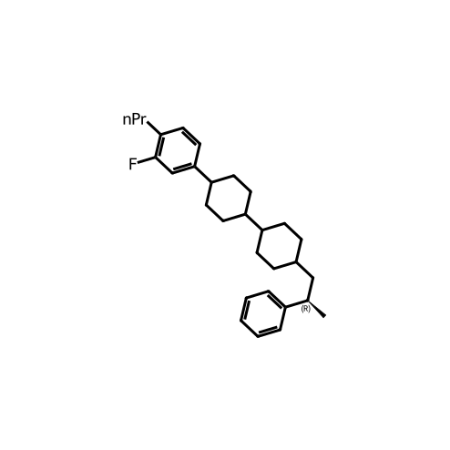 CCCc1ccc(C2CCC(C3CCC(C[C@@H](C)c4ccccc4)CC3)CC2)cc1F